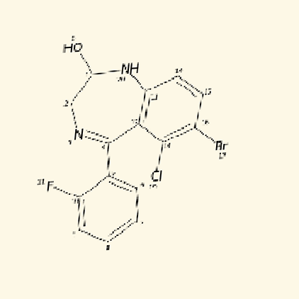 OC1CN=C(c2ccccc2F)c2c(ccc(Br)c2Cl)N1